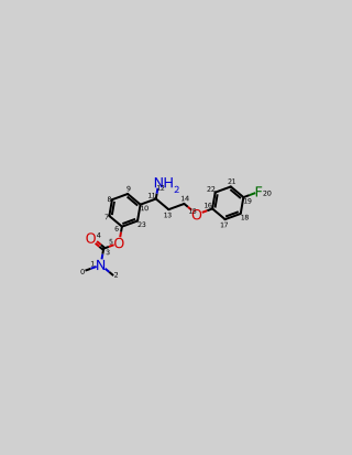 CN(C)C(=O)Oc1cccc(C(N)CCOc2ccc(F)cc2)c1